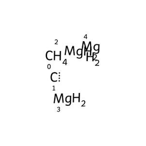 C.[C].[MgH2].[MgH2].[MgH2]